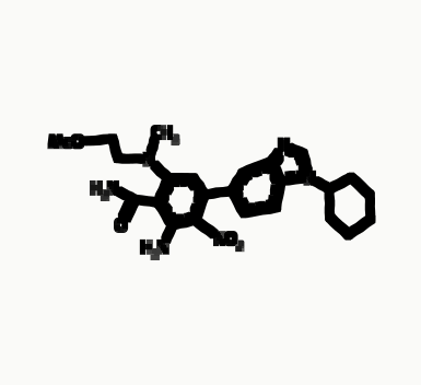 COCCN(C)c1cc(-c2ccc3c(c2)ncn3C2CCCCC2)c([N+](=O)[O-])c(N)c1C(N)=O